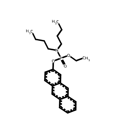 CCCCN(CCCC)P(=O)(OCC)Oc1ccc2cc3ccccc3cc2c1